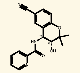 CC1(C)Oc2ccc(C#N)cc2[C@H](NC(=O)c2ccccn2)[C@H]1O